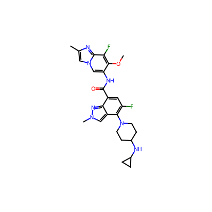 COc1c(NC(=O)c2cc(F)c(N3CCC(NC4CC4)CC3)c3cn(C)nc23)cn2cc(C)nc2c1F